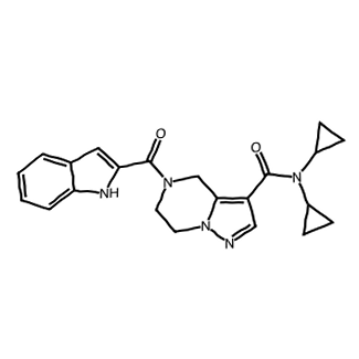 O=C(c1cc2ccccc2[nH]1)N1CCn2ncc(C(=O)N(C3CC3)C3CC3)c2C1